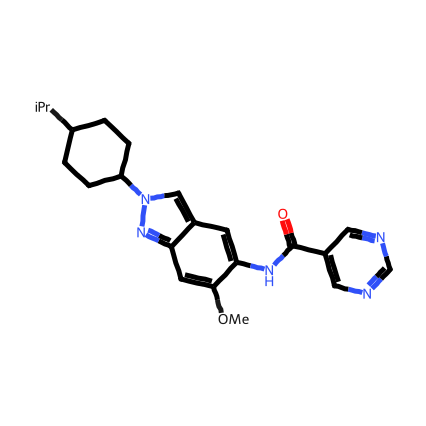 COc1cc2nn(C3CCC(C(C)C)CC3)cc2cc1NC(=O)c1cncnc1